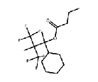 CCCC(=O)OC(C)(C1CCCCC1)C(C)(C(F)(F)F)C(F)(F)F